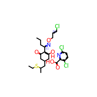 CCC/C(=N\OC/C=C/Cl)C1=C(O)CC(CC(C)SCC)CC1=O.O=C(O)c1nc(Cl)ccc1Cl